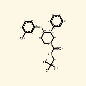 O=C(OCC(Cl)(Cl)Cl)N1CC[C@@H](Oc2cccc(Cl)c2)[C@@H](c2ccccc2)C1